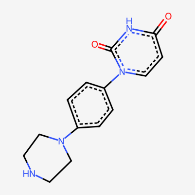 O=c1ccn(-c2ccc(N3CCNCC3)cc2)c(=O)[nH]1